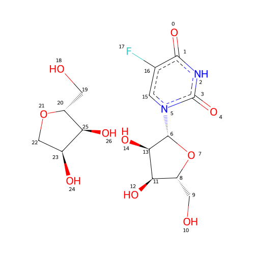 O=c1[nH]c(=O)n([C@@H]2O[C@H](CO)[C@@H](O)[C@H]2O)cc1F.OC[C@H]1OC[C@H](O)[C@@H]1O